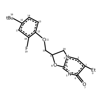 CCc1cn2c(nc1=O)OC(COc1ccc(C(C)(C)C)cc1F)C2